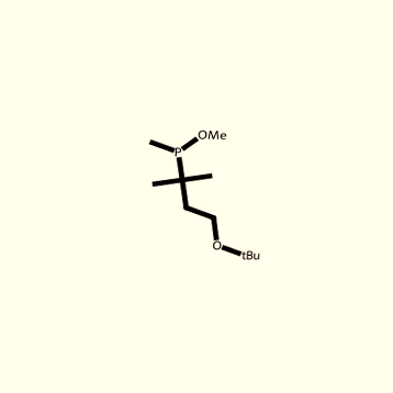 COP(C)C(C)(C)CCOC(C)(C)C